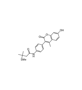 CSC(C)(C)CC(=O)Nc1ccc(-c2c(C)c3ccc(O)cc3oc2=O)cc1